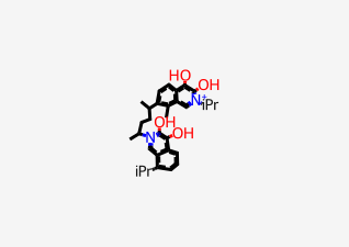 Cc1c(C(C)CCC(C)[n+]2cc3c(C(C)C)cccc3c(O)c2O)ccc2c(O)c(O)[n+](C(C)C)cc12